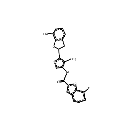 O=C(Nc1csc(C2Cc3cccc(O)c3O2)c1C(=O)O)c1nc2cccc(F)c2o1